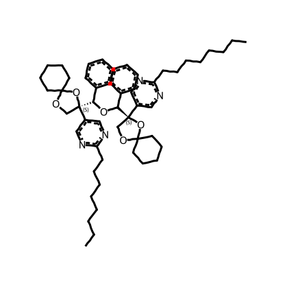 CCCCCCCCc1ncc([C@@]2(C(OC(c3ccccc3)[C@]3(c4cnc(CCCCCCCC)nc4)COC4(CCCCC4)O3)c3ccccc3)COC3(CCCCC3)O2)cn1